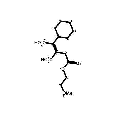 COCCOC(=O)CC(C(=O)O)=C(C(=O)O)C1CCCCC1